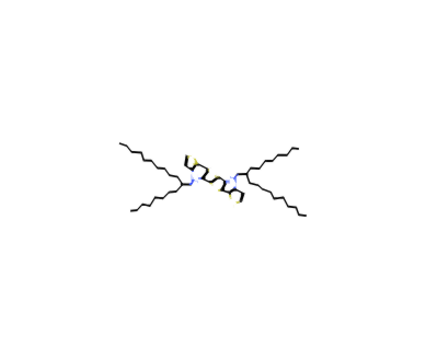 CCCCCCCCCCC(CCCCCCCC)Cn1c2ccsc2c2sc3c(sc4c5sccc5n(CC(CCCCCCCC)CCCCCCCCCC)c43)c21